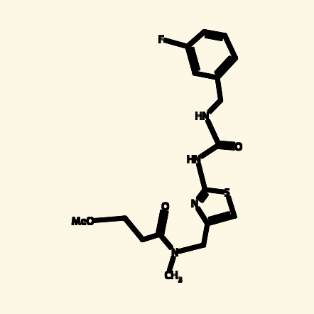 COCCC(=O)N(C)Cc1csc(NC(=O)NCc2cccc(F)c2)n1